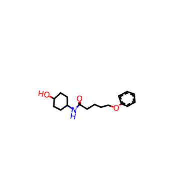 O=C(CCCCOc1ccccc1)NC1CCC(O)CC1